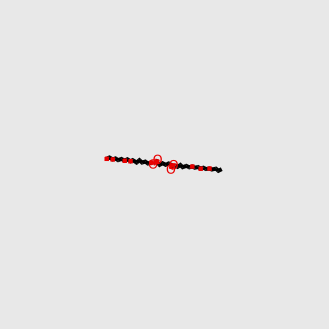 CCCCCCCCCCCCCCCCOC(=O)CCCCC(=O)OCCCCCCCCCCCCCCCC